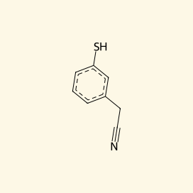 N#CCc1cccc(S)c1